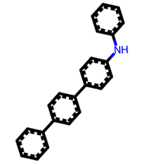 c1ccc(Nc2ccc(-c3ccc(-c4ccccc4)cc3)cc2)cc1